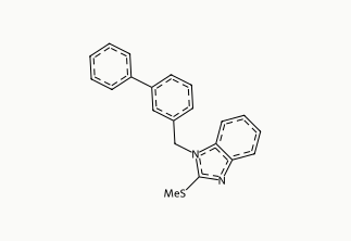 CSc1nc2ccccc2n1Cc1cccc(-c2ccccc2)c1